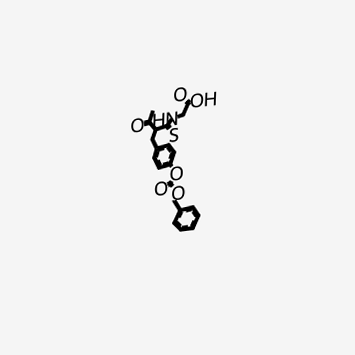 CC(=O)C(Cc1ccc(OC(=O)OCc2ccccc2)cc1)C(=S)NCC(=O)O